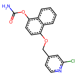 NC(=O)Oc1ccc(OCc2ccnc(Cl)c2)c2ccccc12